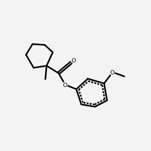 COc1cccc(OC(=O)C2(C)CCCCC2)c1